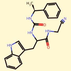 C[C@H](NC(=O)NC(Cc1c[nH]c2ccccc12)C(=O)NCC#N)c1ccccc1